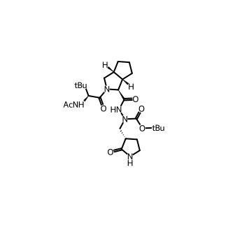 CC(=O)N[C@H](C(=O)N1C[C@@H]2CCC[C@@H]2[C@H]1C(=O)NN(C[C@@H]1CCNC1=O)C(=O)OC(C)(C)C)C(C)(C)C